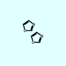 [c]1ncco1.[c]1ncco1